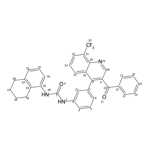 O=C(Nc1cccc(-c2c(C(=O)c3ccccc3)cnc3c(C(F)(F)F)cccc23)c1)Nc1cccc2c1CCCC2